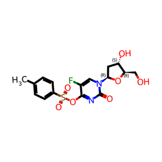 Cc1ccc(S(=O)(=O)Oc2nc(=O)n([C@H]3C[C@H](O)[C@@H](CO)O3)cc2F)cc1